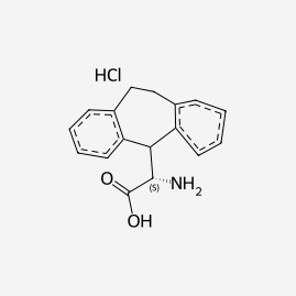 Cl.N[C@H](C(=O)O)C1c2ccccc2CCc2ccccc21